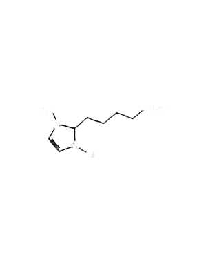 CCCCCCCCCCCC1N(C)C=CN1CCC